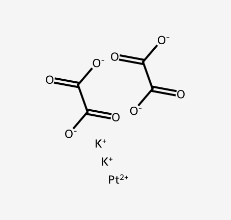 O=C([O-])C(=O)[O-].O=C([O-])C(=O)[O-].[K+].[K+].[Pt+2]